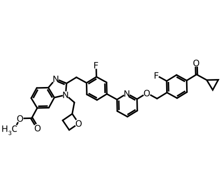 COC(=O)c1ccc2nc(Cc3ccc(-c4cccc(OCc5ccc(C(=O)C6CC6)cc5F)n4)cc3F)n(CC3CCO3)c2c1